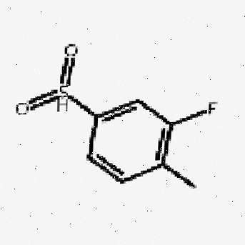 Cc1ccc([SH](=O)=O)cc1F